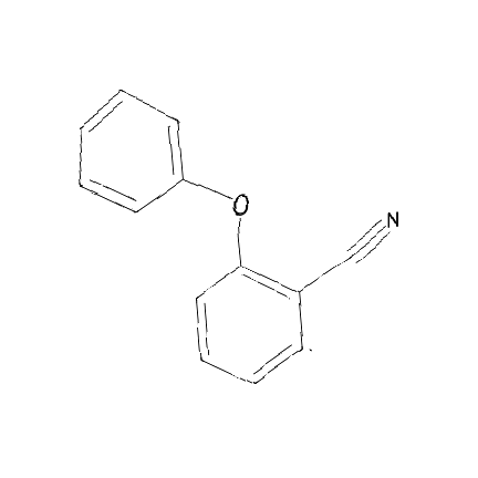 N#Cc1[c]cccc1Oc1ccccc1